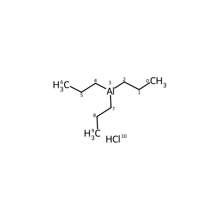 CC[CH2][Al]([CH2]CC)[CH2]CC.Cl